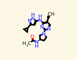 C#Cc1cnc(N2CC[C@@H](NC(C)=O)C2)nc1Nc1cc(C2CC2)n[nH]1